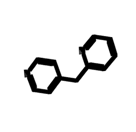 c1ccc(Cc2ccncc2)nc1